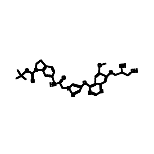 COc1cc2c(Oc3cnn(CC(=O)Nc4ccc5c(c4)N(C(=O)OC(C)(C)C)CC5)c3)ncnc2cc1OCC(O)CO